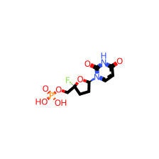 O=c1ccn([C@H]2CC[C@@](F)(COP(=O)(O)O)O2)c(=O)[nH]1